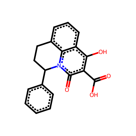 O=C(O)c1c(O)c2cccc3c2n(c1=O)C(c1ccccc1)CC3